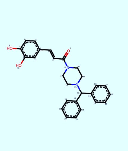 O=C(C=Cc1ccc(O)c(O)c1)N1CCN(C(c2ccccc2)c2ccccc2)CC1